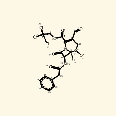 O=CC1=C(C(=O)OCC(Cl)(Cl)Cl)N2C(=O)C(NC(=O)Cc3ccccc3)[C@H]2[S+]([O-])C1